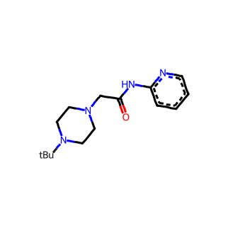 CC(C)(C)N1CCN(CC(=O)Nc2ccccn2)CC1